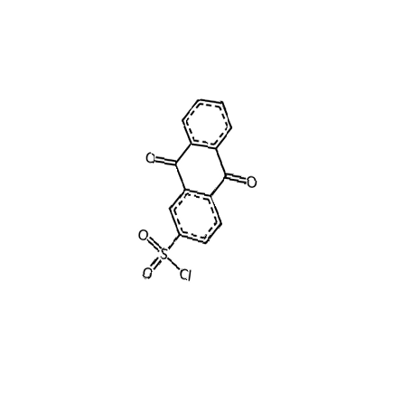 O=C1c2ccccc2C(=O)c2cc(S(=O)(=O)Cl)ccc21